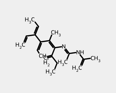 C=CC(=C\C)/C(=C/C)C(/C)=C(/N=C(\C)NC(=C)C)C(=C)CC